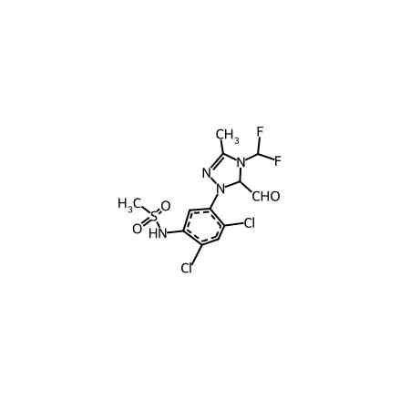 CC1=NN(c2cc(NS(C)(=O)=O)c(Cl)cc2Cl)C(C=O)N1C(F)F